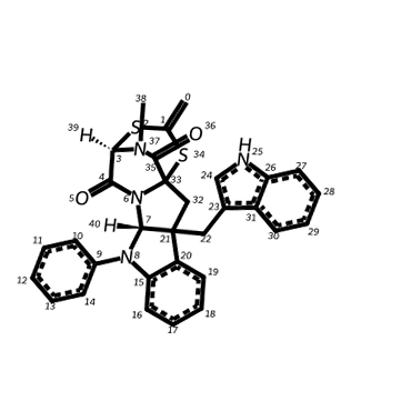 C=C1S[C@@H]2C(=O)N3[C@H]4N(c5ccccc5)c5ccccc5C4(Cc4c[nH]c5ccccc45)CC3(S1)C(=O)N2C